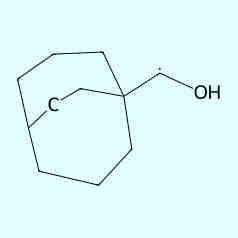 O[CH]C12CCCC(CCC1)CC2